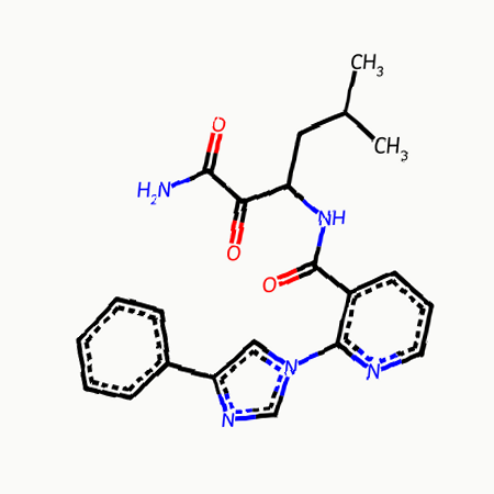 CC(C)CC(NC(=O)c1cccnc1-n1cnc(-c2ccccc2)c1)C(=O)C(N)=O